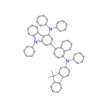 CC1(C)c2ccccc2-c2ccc(N(c3ccccc3)c3ccc(-c4cc(N(c5ccccc5)c5ccccc5)c5c6ccccc6n(-c6ccccc6)c5c4)c4ccccc34)cc21